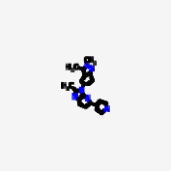 Cc1c2cc(-n3c(C)nc4ccc(-c5ccncc5)nc43)ccc2nn1C